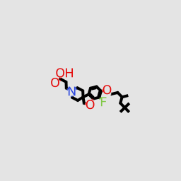 CC(CCOc1ccc2c(c1F)OCC21CCN(CCC(=O)O)CC1)CC(C)(C)C